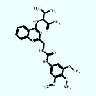 COc1cc(NC(=O)NCc2nc(N[C@H](C(N)=O)C(C)C)c3ccccc3n2)cc(OC)c1OC